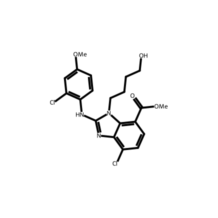 COC(=O)c1ccc(Cl)c2nc(Nc3ccc(OC)cc3Cl)n(CCCCO)c12